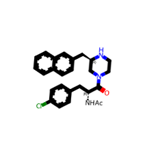 CC(=O)N[C@H](Cc1ccc(Cl)cc1)C(=O)N1CCN[C@H](Cc2ccc3ccccc3c2)C1